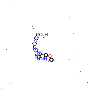 Nc1ncnc2c1c(-c1ccc(Oc3ccccc3)cc1)nn2C1CCN(CC2CCN(C3CCN(C(=O)O)CC3)CC2)CC1